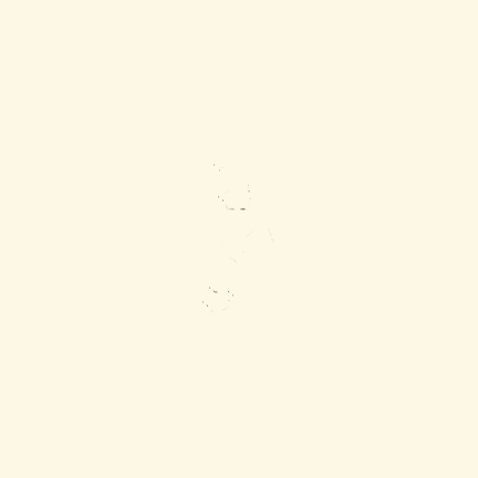 N#Cc1ccc(C2=C3OC=C(Cn4ccnn4)[C@@H]3CC=C2)cn1